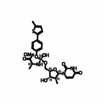 COC(=O)[C@H](C)N[PH](O)(OC[C@H]1O[C@@H](n2ccc(=O)[nH]c2=O)[C@@H](C)[C@@H]1O)Oc1ccc(-c2ccc(C)s2)cc1